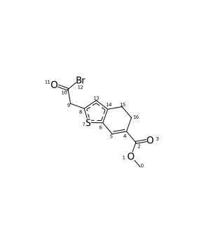 COC(=O)C1=Cc2sc(CC(=O)Br)cc2CC1